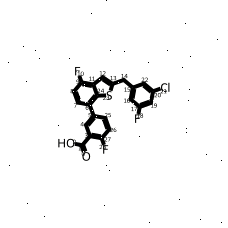 O=C(O)c1cc(-c2ccc(F)c3cc(Cc4cc(F)cc(Cl)c4)sc23)ccc1F